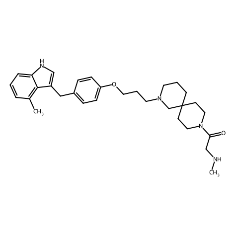 CNCC(=O)N1CCC2(CCCN(CCCOc3ccc(Cc4c[nH]c5cccc(C)c45)cc3)C2)CC1